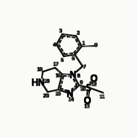 Cc1ccccc1Cn1c(S(C)(=O)=O)nc2c1CCNC2